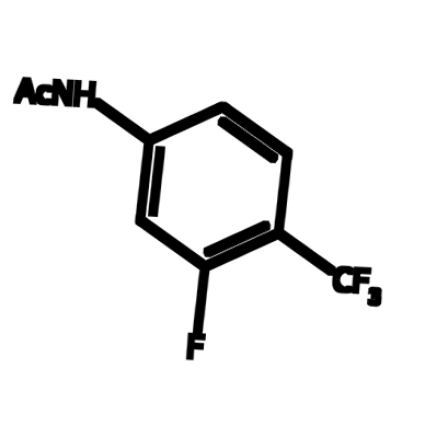 CC(=O)Nc1ccc(C(F)(F)F)c(F)c1